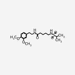 COc1ccc(CCNC(=O)CCCCNS(=O)(=O)C(C)C)cc1OC